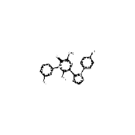 CC(=O)Oc1nc(-c2ccnn2-c2ccc(Cl)cc2)c(C)n(-c2cccc(C(F)(F)F)c2)c1=O